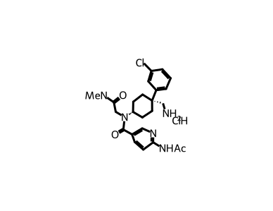 CNC(=O)CN(C(=O)c1ccc(NC(C)=O)nc1)[C@H]1CC[C@](CN)(c2cccc(Cl)c2)CC1.Cl